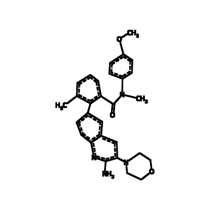 COc1ccc(N(C)C(=O)c2cccc(C)c2-c2ccc3nc(N)c(N4CCOCC4)cc3c2)cc1